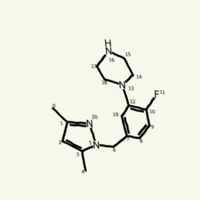 Cc1cc(C)n(Cc2ccc(F)c(N3CCNCC3)c2)n1